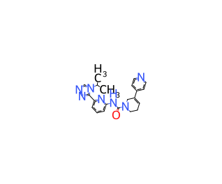 CC(C)n1cnnc1-c1cccc(NC(=O)N2CCC=C(c3ccncc3)C2)n1